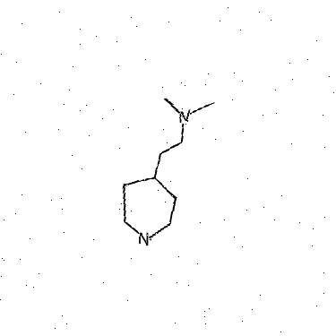 CN(C)CCC1CC[N]CC1